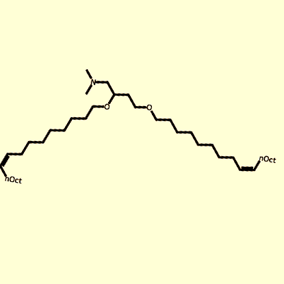 CCCCCCCC/C=C\CCCCCCCCOCCC(CN(C)C)OCCCCCCCC/C=C\CCCCCCCC